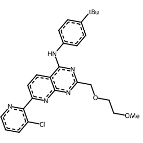 COCCOCc1nc(Nc2ccc(C(C)(C)C)cc2)c2ccc(-c3ncccc3Cl)nc2n1